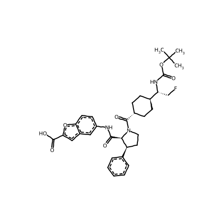 CC(C)(C)OC(=O)N[C@H](CF)[C@H]1CC[C@H](C(=O)N2CC[C@@H](c3ccccc3)[C@H]2C(=O)Nc2ccc3oc(C(=O)O)cc3c2)CC1